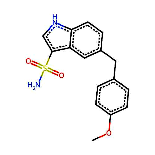 COc1ccc(Cc2ccc3[nH]cc(S(N)(=O)=O)c3c2)cc1